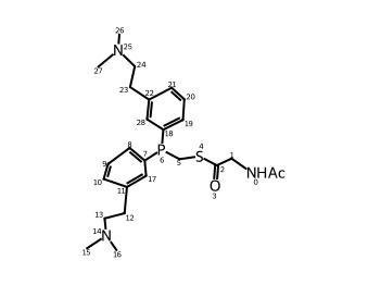 CC(=O)NCC(=O)SCP(c1cccc(CCN(C)C)c1)c1cccc(CCN(C)C)c1